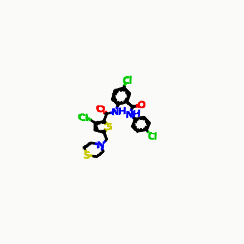 O=C(Nc1ccc(Cl)cc1)c1cc(Cl)ccc1NC(=O)c1sc(CN2CCSCC2)cc1Cl